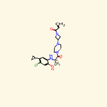 C=CC(=O)N1CC(N2CCN(C(=O)[C@@H](C)Nc3cc(C4CC4)c(Cl)cc3O)CC2)C1